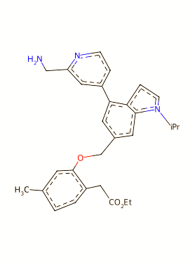 CCOC(=O)Cc1ccc(C)cc1OCc1cc(-c2ccnc(CN)c2)c2ccn(C(C)C)c2c1